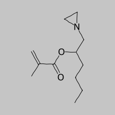 C=C(C)C(=O)OC(CCCC)CN1CC1